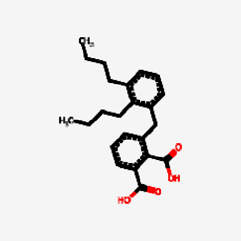 CCCCc1cccc(Cc2cccc(C(=O)O)c2C(=O)O)c1CCCC